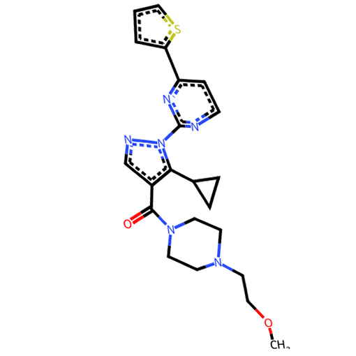 COCCN1CCN(C(=O)c2cnn(-c3nccc(-c4cccs4)n3)c2C2CC2)CC1